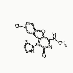 CNc1nc(=O)n(-c2nccs2)c2c1oc1ccc(Cl)cc12